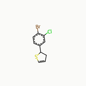 Clc1cc(C2CC=CS2)ccc1Br